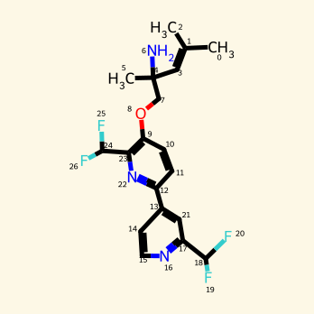 CC(C)=CC(C)(N)COc1ccc(-c2ccnc(C(F)F)c2)nc1C(F)F